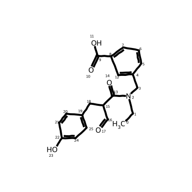 CCN(Cc1cccc(C(=O)O)c1)C(=O)C(C=O)Cc1ccc(O)cc1